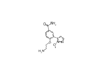 COn1nccc1-c1cc(C(N)=O)ccc1OCCN